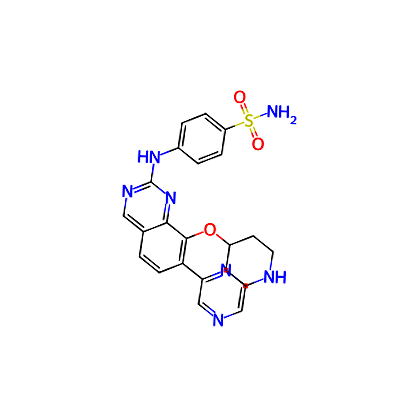 NS(=O)(=O)c1ccc(Nc2ncc3ccc(-c4cnccn4)c(OC4CCNCC4)c3n2)cc1